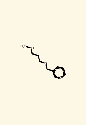 CNCCCOCc1cccnc1